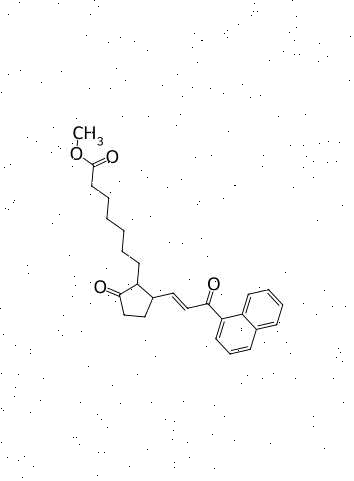 COC(=O)CCCCCCC1C(=O)CCC1C=CC(=O)c1cccc2ccccc12